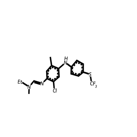 CCN(C)C=Nc1cc(C)c(Nc2ccc(SC(F)(F)F)cc2)cc1Cl